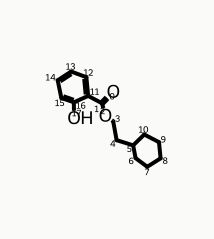 O=C(OCCC1CCCCC1)c1ccccc1O